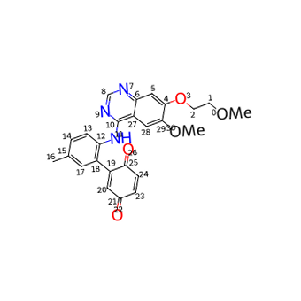 COCCOc1cc2ncnc(Nc3ccc(C)cc3C3=CC(=O)C=CC3=O)c2cc1OC